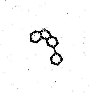 [c]1ccccc1-c1ccc2cnc3ccccc3c2c1